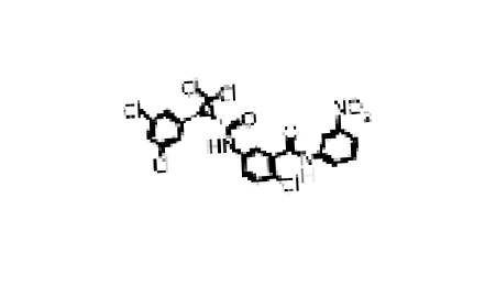 O=C(Nc1cccc([N+](=O)[O-])c1)c1cc(NC(=O)[C@@H]2[C@@H](c3cc(Cl)cc(Cl)c3)C2(Cl)Cl)ccc1Cl